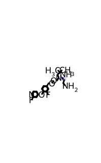 CC1(C)CN(COOCc2ccc(Oc3ccnc(F)c3)c(F)c2)/C(=C\CN)N1